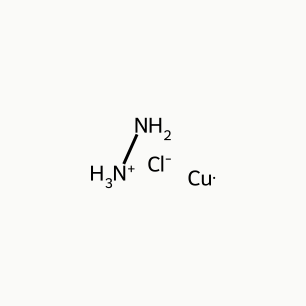 N[NH3+].[Cl-].[Cu]